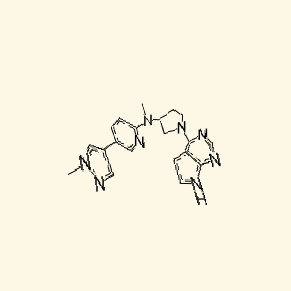 CN(c1ccc(-c2cnn(C)c2)cn1)C1CCN(c2ncnc3[nH]ccc23)C1